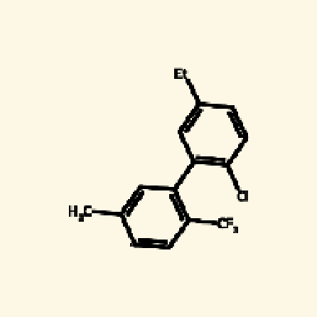 CCc1ccc(Cl)c(-c2cc(C)[c]cc2C(F)(F)F)c1